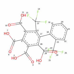 O=C(O)c1c(C(=O)O)c(C(=O)O)c(C(F)(F)F)c(-c2ccccc2C(F)(F)F)c1C(=O)O